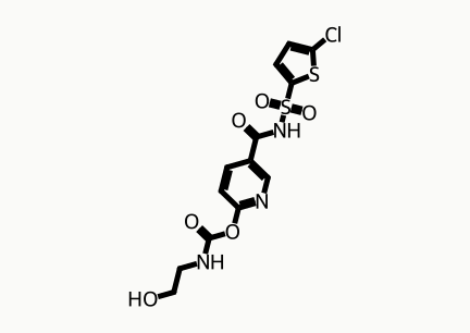 O=C(NCCO)Oc1ccc(C(=O)NS(=O)(=O)c2ccc(Cl)s2)cn1